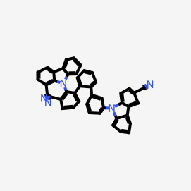 N#Cc1ccc2c(c1)c1ccccc1n2-c1cccc(-c2ccccc2-c2cccc(C#N)c2-n2c3ccccc3c3cccc(C#N)c32)c1